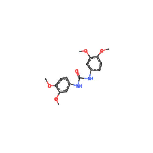 COc1ccc(NC(=O)Nc2ccc(OC)c(OC)c2)cc1OC